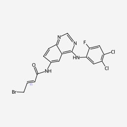 O=C(/C=C/CBr)Nc1ccc2ncnc(Nc3cc(Cl)c(Cl)cc3F)c2c1